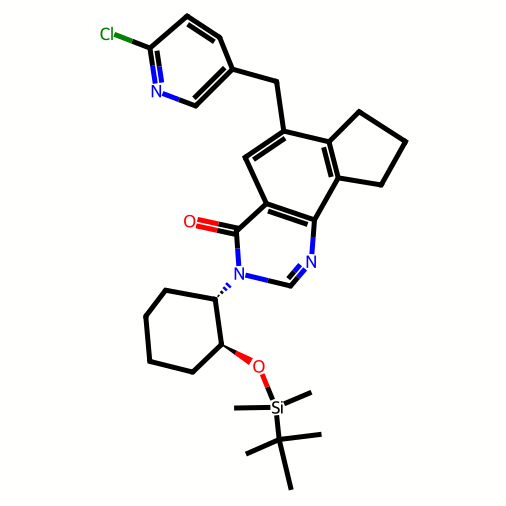 CC(C)(C)[Si](C)(C)O[C@H]1CCCC[C@@H]1n1cnc2c3c(c(Cc4ccc(Cl)nc4)cc2c1=O)CCC3